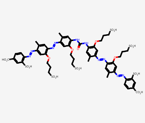 Cc1cc(NC(=O)Nc2cc(C)c(N=Nc3cc(C)c(N=Nc4ccc(C(=O)O)cc4S(=O)(=O)O)cc3OCCCS(=O)(=O)O)cc2OCCCS(=O)(=O)O)c(OCCCS(=O)(=O)O)cc1N=Nc1cc(C)c(N=Nc2ccc(C(=O)O)cc2S(=O)(=O)O)cc1OCCCS(=O)(=O)O